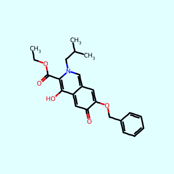 CCOC(=O)c1c(O)c2cc(=O)c(OCc3ccccc3)cc-2cn1CC(C)C